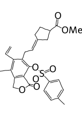 C=Cc1c(C)c2c(c(OS(=O)(=O)c3ccc(C)cc3)c1C/C=C1\CCC(C(=O)OC)C1)C(=O)OC2